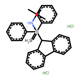 CC(C)(C)[NH][Ti](=[SiH2])([c]1ccccc1)([c]1ccccc1)[CH]1c2ccccc2-c2ccccc21.Cl.Cl